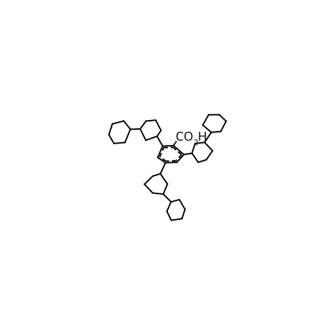 O=C(O)c1c(C2CCCC(C3CCCCC3)C2)cc(C2CCCC(C3CCCCC3)C2)cc1C1CCCC(C2CCCCC2)C1